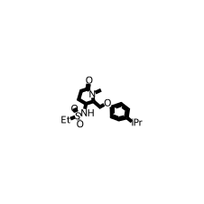 CCS(=O)(=O)NC1CCC(=O)N(C)C1COc1ccc(C(C)C)cc1